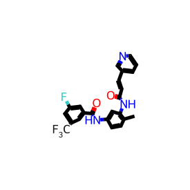 Cc1ccc(NC(=O)c2cc(F)cc(C(F)(F)F)c2)cc1NC(=O)C=Cc1cccnc1